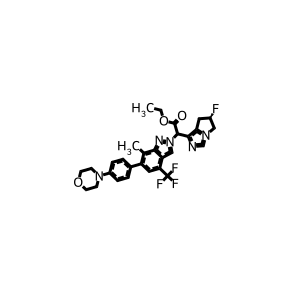 CCOC(=O)C(c1ncn2c1C[C@@H](F)C2)n1cc2c(C(F)(F)F)cc(-c3ccc(N4CCOCC4)cc3)c(C)c2n1